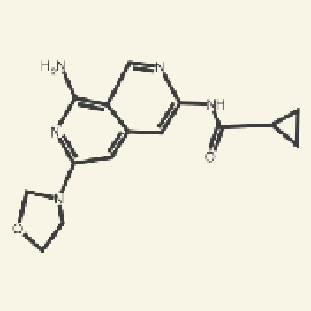 Nc1nc(N2CCOC2)cc2cc(NC(=O)C3CC3)ncc12